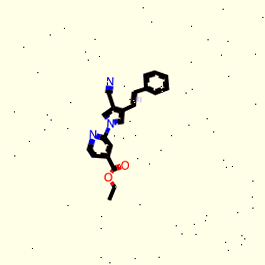 CCOC(=O)c1ccnc(-n2cc(C#N)c(/C=C/c3ccccc3)c2)c1